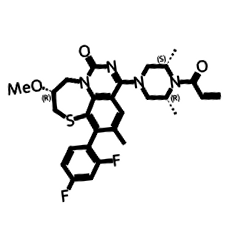 C=CC(=O)N1[C@H](C)CN(c2nc(=O)n3c4c(c(-c5ccc(F)cc5F)c(C)cc24)SC[C@H](OC)C3)C[C@@H]1C